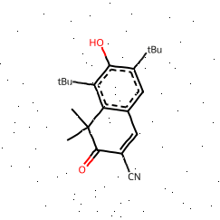 CC(C)(C)c1cc2c(c(C(C)(C)C)c1O)C(C)(C)C(=O)C(C#N)=C2